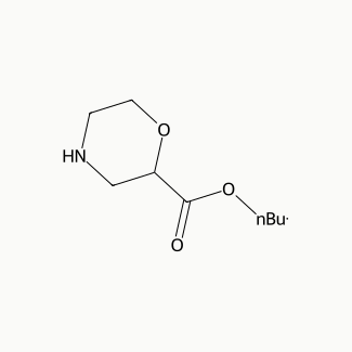 CCC[CH]OC(=O)C1CNCCO1